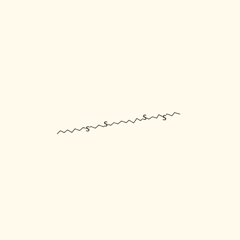 CCCCCCCCSCCCCSCCCCCCCCCSCCCCSCCCC